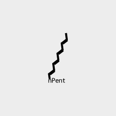 [CH2]CCCC/C=C/C=C/C=C/C=C/C